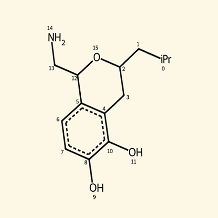 CC(C)CC1Cc2c(ccc(O)c2O)C(CN)O1